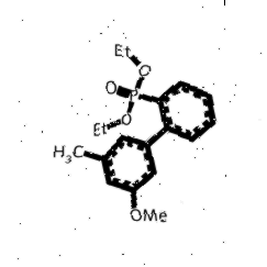 CCOP(=O)(OCC)c1ccccc1-c1cc(C)cc(OC)c1